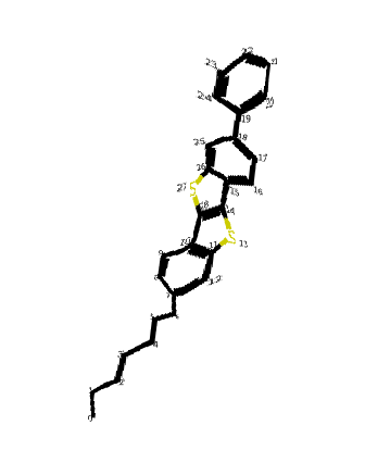 CCCCCCCc1ccc2c(c1)sc1c3ccc(-c4ccccc4)cc3sc21